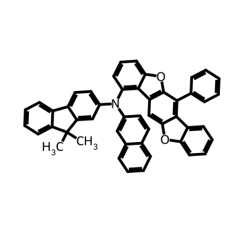 CC1(C)c2ccccc2-c2ccc(N(c3ccc4ccccc4c3)c3cccc4oc5c(-c6ccccc6)c6c(cc5c34)oc3ccccc36)cc21